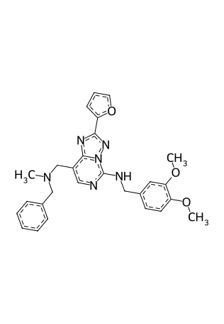 COc1ccc(CNc2ncc(CN(C)Cc3ccccc3)c3nc(-c4ccco4)nn23)cc1OC